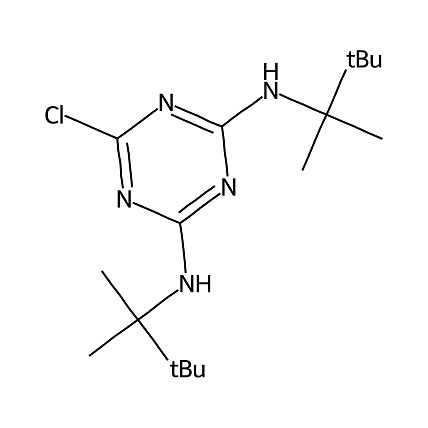 CC(C)(C)C(C)(C)Nc1nc(Cl)nc(NC(C)(C)C(C)(C)C)n1